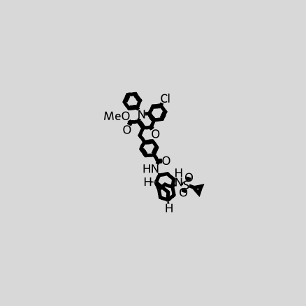 COC(=O)c1c(Cc2ccc(C(=O)N[C@@H]3CC[C@@]4(NS(=O)(=O)C5CC5)CC5C[C@H](C[C@@H]53)C4)cc2)c(=O)c2ccc(Cl)cc2n1-c1ccccc1